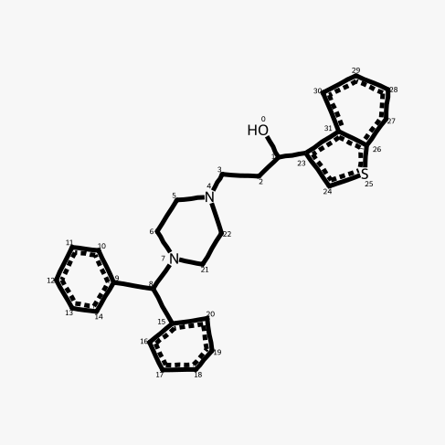 OC(CCN1CCN(C(c2ccccc2)c2ccccc2)CC1)c1csc2ccccc12